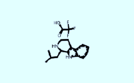 CC(C)CC1NCCc2c1[nH]c1ccccc21.O=C(O)C(F)(F)F